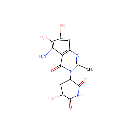 Bc1cc2nc(C)n(C3CC(B)C(=O)NC3=O)c(=O)c2c(N)c1B